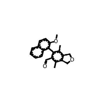 COc1ccc2ccccc2c1-c1c(C)c2c(c(C)c1C=O)COC2